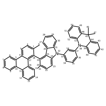 Cc1ccc2c3ccccc3c3ccccc3c2c1-c1c(C)ccc2c1c1ccccc1n2-c1cccc(N2c3ccccc3C(C)(C)c3ccccc32)c1